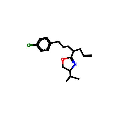 C=CCC(CCCc1ccc(Cl)cc1)C1=NC(C(C)C)CO1